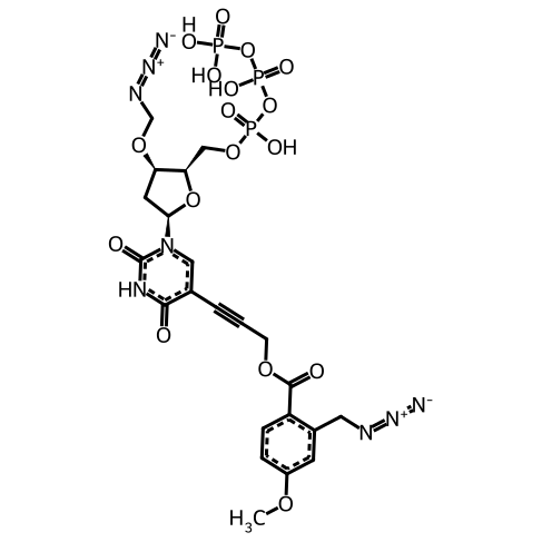 COc1ccc(C(=O)OCC#Cc2cn([C@H]3C[C@@H](OCN=[N+]=[N-])[C@@H](COP(=O)(O)OP(=O)(O)OP(=O)(O)O)O3)c(=O)[nH]c2=O)c(CN=[N+]=[N-])c1